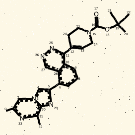 Cc1cn2cc(-c3cccc4c(C5=CCN(C(=O)OC(C)(C)C)CC5)nncc34)nc2c(C)n1